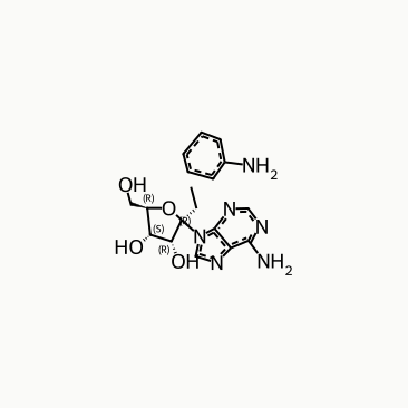 CC[C@@]1(n2cnc3c(N)ncnc32)O[C@H](CO)[C@@H](O)[C@H]1O.Nc1ccccc1